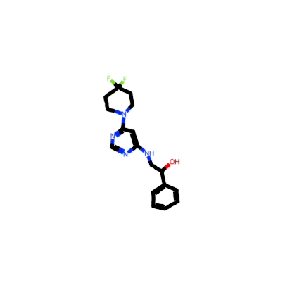 OC(CNc1cc(N2CCC(F)(F)CC2)ncn1)c1ccccc1